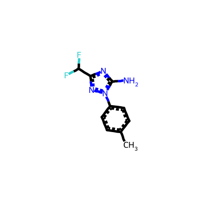 Cc1ccc(-n2nc(C(F)F)nc2N)cc1